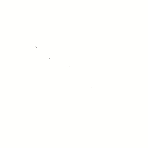 COc1ccc2c(c1)c(C=C1Oc3cc(O)ccc3C1=O)c(C(=O)N(C)C)n2CCN1CCN(C)CC1